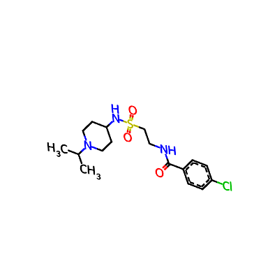 CC(C)N1CCC(NS(=O)(=O)CCNC(=O)c2ccc(Cl)cc2)CC1